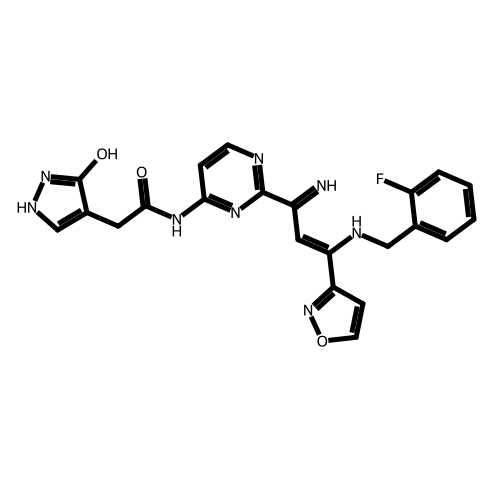 N=C(/C=C(\NCc1ccccc1F)c1ccon1)c1nccc(NC(=O)Cc2c[nH]nc2O)n1